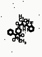 CC(C)[C@@H](NC(=O)c1ncccc1F)C(=O)N1CCC2(CC1)C(=O)N(C)C(=O)C2c1ccccc1